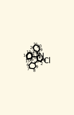 Clc1cc(C2CCCCC2)c(-c2ccccc2)c(C2CCCCC2)n1